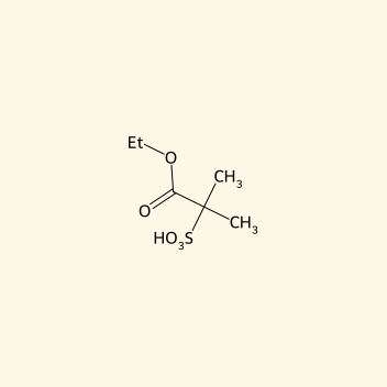 CCOC(=O)C(C)(C)S(=O)(=O)O